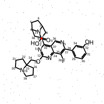 O=C(O)N1C2CCC1CN(c1nc(OCC34CCCN3CCC4)nc3c(F)c(-c4cccc(O)c4)ncc13)C2